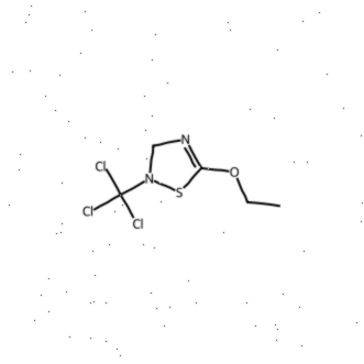 CCOC1=NCN(C(Cl)(Cl)Cl)S1